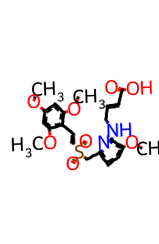 COc1cc(OC)c(/C=C/S(=O)(=O)Cc2ccc(OC)c(NC/C=C/C(=O)O)n2)c(OC)c1